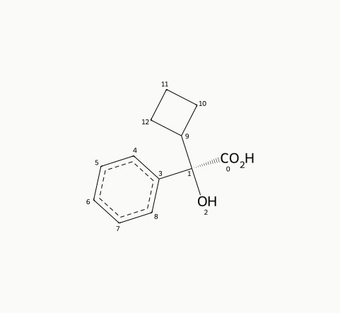 O=C(O)[C@](O)(c1ccccc1)C1CCC1